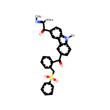 CCCCCC/C(=N\OC(C)=O)C(=O)c1ccc2c(c1)c1cc(C(=O)c3ccccc3CS(=O)(=O)c3ccccc3)ccc1n2CC